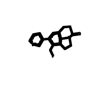 O=C1CCc2cc(-c3cccnc3)c(CF)c3c2N1CC3